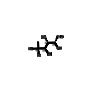 CC[C@](C)(O)[C@H](O)[C@H](O)[C@@H](O)C=O